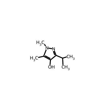 Cc1c(O)c(C(C)C)nn1C